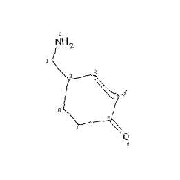 NCC1C=CC(=O)CC1